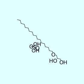 CCCCCCCCCCCCCCCCCCOCC(O)CO.O=S(=O)(O)O